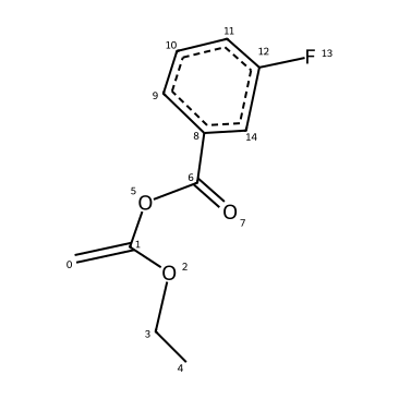 C=C(OCC)OC(=O)c1cccc(F)c1